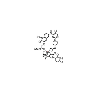 CNC(=O)COc1cc2cc(Nc3nc(N4CCC(OC5CC(N6CCC7(c8ccc9c(c8F)CN(C8CCC(=O)NC8=O)C9=O)CC7C6)C5)CC4)ncc3Cl)ccc2n(C(C)C)c1=O